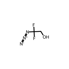 [N-]=[N+]=NC(F)(F)CO